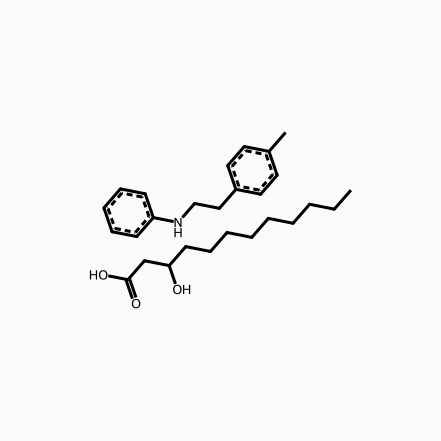 CCCCCCCCCC(O)CC(=O)O.Cc1ccc(CCNc2ccccc2)cc1